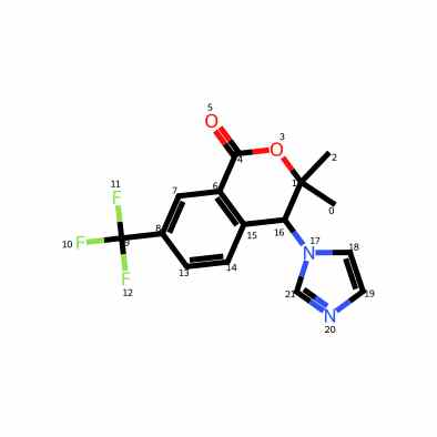 CC1(C)OC(=O)c2cc(C(F)(F)F)ccc2C1n1ccnc1